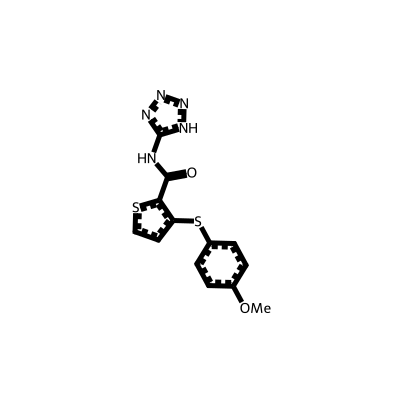 COc1ccc(Sc2ccsc2C(=O)Nc2nnn[nH]2)cc1